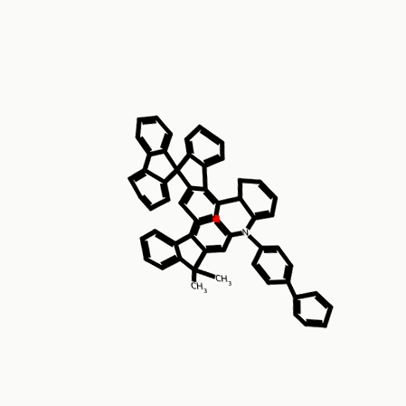 CC1(C)c2ccccc2-c2ccc(N(C3=CC=CCC3c3cccc4c3-c3ccccc3C43c4ccccc4-c4ccccc43)c3ccc(-c4ccccc4)cc3)cc21